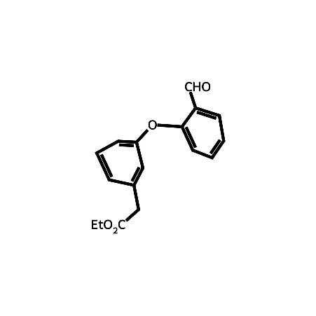 CCOC(=O)Cc1cccc(Oc2ccccc2C=O)c1